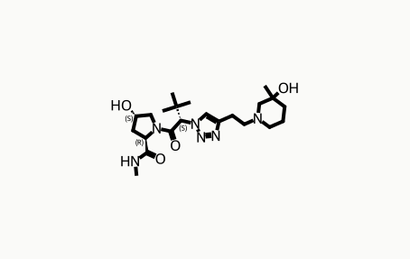 CNC(=O)[C@H]1C[C@H](O)CN1C(=O)[C@@H](n1cc(CCN2CCCC(C)(O)C2)nn1)C(C)(C)C